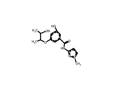 CC(O)C(C)Oc1cc(O)cc(C(=O)Nc2ccn(C)n2)c1